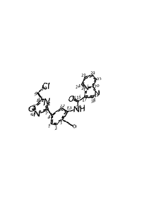 Cc1ccc(-c2noc(CCl)n2)cc1NC(=O)c1cnc2ccccn12